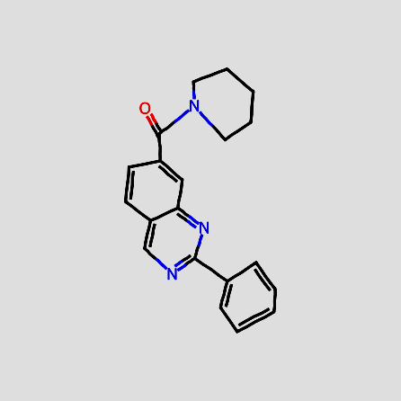 O=C(c1ccc2cnc(-c3ccccc3)nc2c1)N1CCCCC1